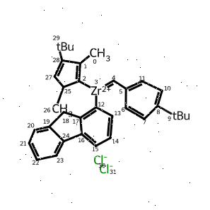 CC1=[C](/[Zr+2](=[CH]/c2ccc(C(C)(C)C)cc2)[c]2cccc3c2Cc2ccccc2-3)C(C)C=C1C(C)(C)C.[Cl-].[Cl-]